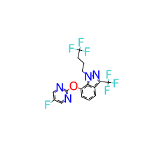 Fc1cnc(Oc2cccc3c(C(F)(F)F)nn(CCCC(F)(F)F)c23)nc1